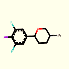 CCCC1CCC(c2cc(F)c(I)c(F)c2)OC1